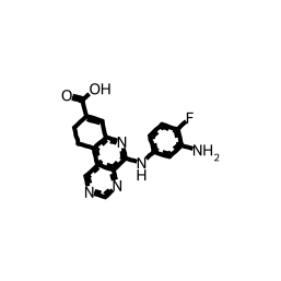 Nc1cc(Nc2nc3c(c4cncnc24)CCC(C(=O)O)=C3)ccc1F